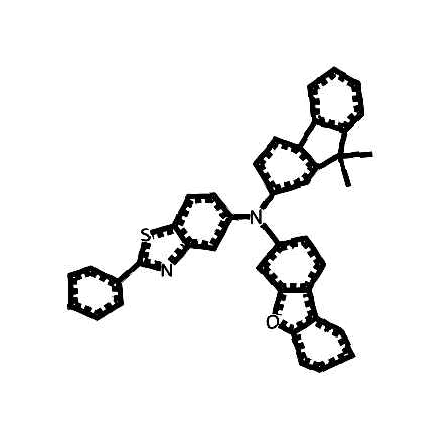 CC1(C)c2ccccc2-c2ccc(N(c3ccc4sc(-c5ccccc5)nc4c3)c3ccc4c(c3)oc3ccccc34)cc21